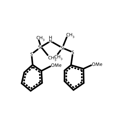 COc1ccccc1S[Si](C)(C)N[Si](C)(C)Sc1ccccc1OC